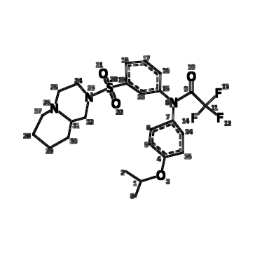 CC(C)Oc1ccc(N(C(=O)C(F)(F)F)c2cccc(S(=O)(=O)N3CCN4CCCCC4C3)c2)cc1